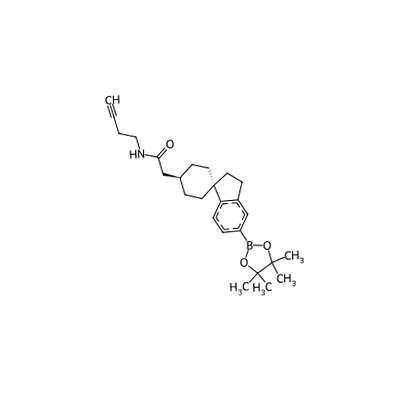 C#CCCNC(=O)C[C@H]1CC[C@@]2(CCc3cc(B4OC(C)(C)C(C)(C)O4)ccc32)CC1